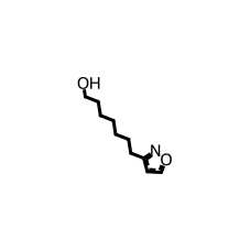 OCCCCCCCc1ccon1